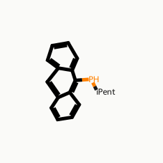 CCCC(C)Pc1c2ccccc2cc2ccccc12